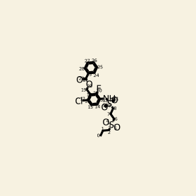 CCCS(=O)(=O)CCCS(=O)(=O)Nc1ccc(Cl)c(COC(=O)c2ccccc2)c1F